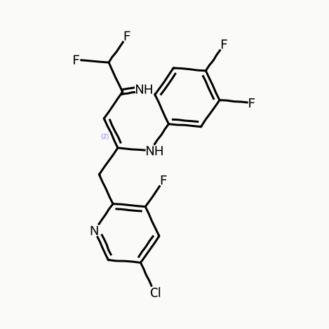 N=C(/C=C(/Cc1ncc(Cl)cc1F)Nc1ccc(F)c(F)c1)C(F)F